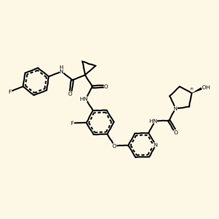 O=C(Nc1cc(Oc2ccc(NC(=O)C3(C(=O)Nc4ccc(F)cc4)CC3)c(F)c2)ccn1)N1CC[C@@H](O)C1